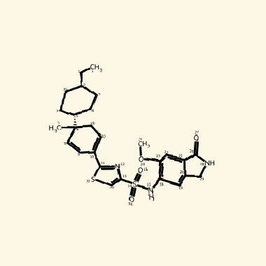 CC[C@H]1CC[C@H](C2(C)C=CC(c3nc(S(=O)(=O)Nc4cc5c(cc4OC)C(=O)NC5)cs3)=CC2)CC1